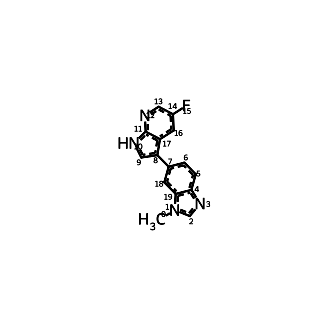 Cn1cnc2ccc(-c3c[nH]c4ncc(F)cc34)cc21